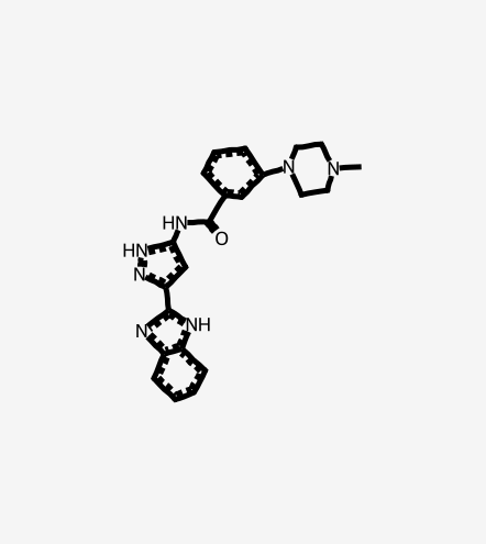 CN1CCN(c2cccc(C(=O)Nc3cc(-c4nc5ccccc5[nH]4)n[nH]3)c2)CC1